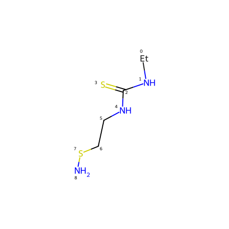 CCNC(=S)NCCSN